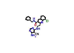 N#Cc1c(N)ncnc1NCCc1nc2c(Cl)cccc2cc1C(=O)NCc1ccccc1